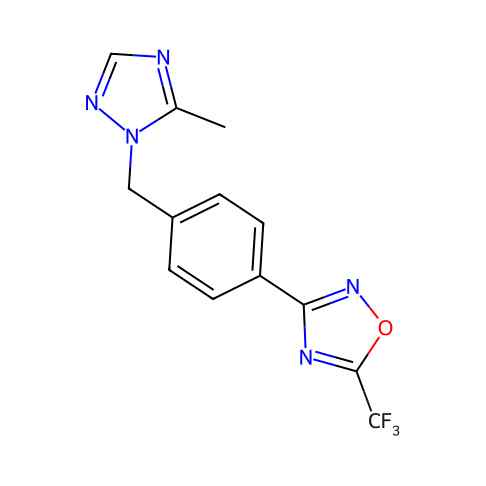 Cc1ncnn1Cc1ccc(-c2noc(C(F)(F)F)n2)cc1